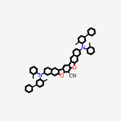 Cc1ccccc1N(c1ccc2cc3c(cc2c1)oc1c(C#N)c2oc4cc5cc(N(c6ccccc6C)c6cc(-c7ccccc7)ccc6C)ccc5cc4c2cc13)c1cc(-c2ccccc2)ccc1C